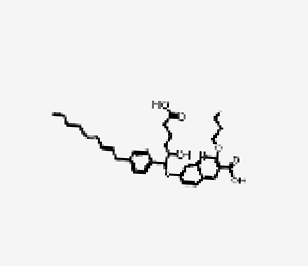 CCCCCCCCCc1ccc(C(Sc2ccc3cc(C(=O)O)c(OCCCC)nc3c2)C(O)CCCC(=O)O)cc1